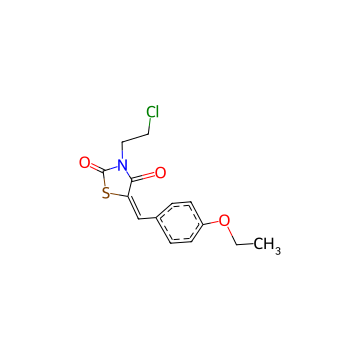 CCOc1ccc(/C=C2/SC(=O)N(CCCl)C2=O)cc1